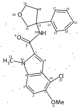 COc1ccc2c(cc(C(=O)NC3(c4c[c]ccc4)CCOC3)n2C)c1Cl